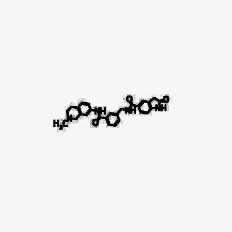 CN1CCc2ccc(NC(=O)c3cccc(CNC(=O)c4ccc5c(c4)CC(=O)N5)c3)cc2C1